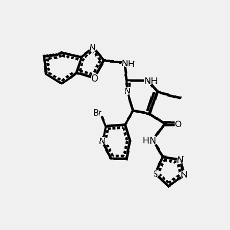 CC1=C(C(=O)Nc2nncs2)C(c2cccnc2Br)N=C(Nc2nc3ccccc3o2)N1